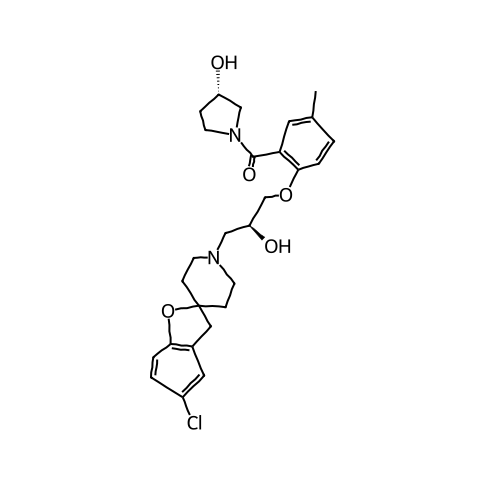 Cc1ccc(OC[C@@H](O)CN2CCC3(CC2)Cc2cc(Cl)ccc2O3)c(C(=O)N2CC[C@H](O)C2)c1